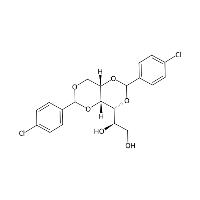 OC[C@@H](O)[C@H]1OC(c2ccc(Cl)cc2)O[C@H]2COC(c3ccc(Cl)cc3)O[C@@H]12